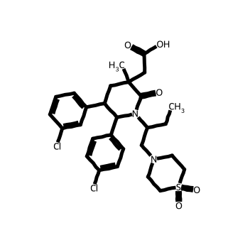 CCC(CN1CCS(=O)(=O)CC1)N1C(=O)C(C)(CC(=O)O)CC(c2cccc(Cl)c2)C1c1ccc(Cl)cc1